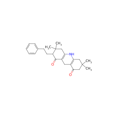 CC1(C)CC(=O)C2=C(C1)NC1=C(C2)C(=O)C(CCc2ccccc2)C(C)(C)C1